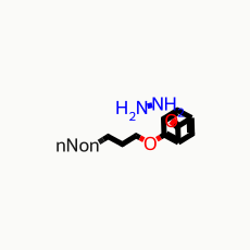 CCCCCCCCCCCCOc1ccc2cc1C2=O.NN